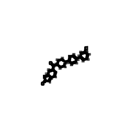 O=C1C=c2ccc(C(=O)N3CCN(c4ccc(-c5cccc(Cl)c5)cn4)CC3)cc2=N1